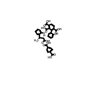 CC(CC(=O)O)c1ccccc1O.O=C(O)c1ccc(C(=O)O)c(-c2ccccc2O)c1C(=O)O.O=C(O)c1ccc(C(=O)O)cc1